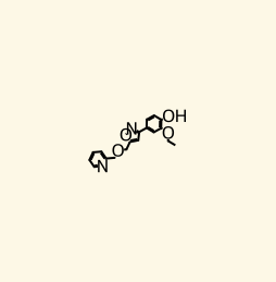 CCOc1cc(-c2cc(COCc3ccccn3)on2)ccc1O